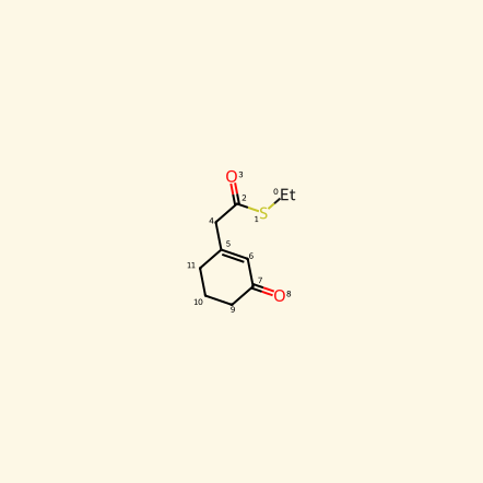 CCSC(=O)CC1=CC(=O)CCC1